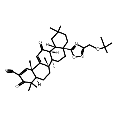 CC1(C)CC[C@]2(c3nc(COC(C)(C)C)no3)CC[C@]3(C)[C@H](C(=O)C=C4[C@@]5(C)C=C(C#N)C(=O)C(C)(C)[C@@H]5CC[C@]43C)[C@@H]2C1